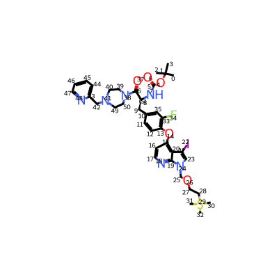 CC(C)(C)OC(=O)N[C@@H](Cc1ccc(Oc2ccnc3c2c(I)cn3COCCS(C)(C)C)c(F)c1)C(=O)N1CCN(Cc2ccccn2)CC1